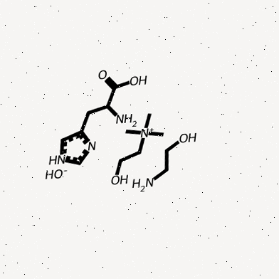 C[N+](C)(C)CCO.NC(Cc1c[nH]cn1)C(=O)O.NCCO.[OH-]